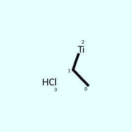 C[CH2][Ti].Cl